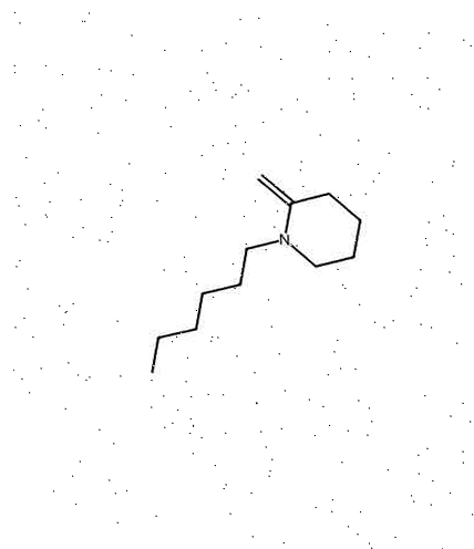 C=C1CCCCN1CCCCCC